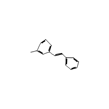 Cc1cccc(/C=C/c2ccccc2)c1